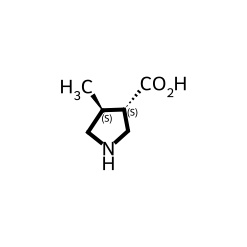 C[C@@H]1CNC[C@H]1C(=O)O